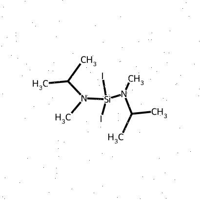 CC(C)N(C)[Si](I)(I)N(C)C(C)C